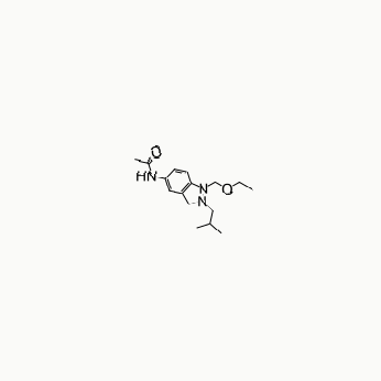 CCOCN1c2ccc(NC(C)=O)cc2CN1CC(C)C